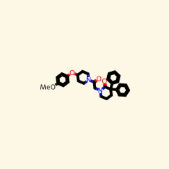 COc1ccc(OC2CCN(C(=O)CN3CCCC(c4ccccc4)(c4ccccc4)C3=O)CC2)cc1